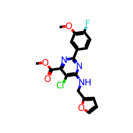 COC(=O)c1nc(-c2ccc(F)c(OC)c2)nc(NCc2ccco2)c1Cl